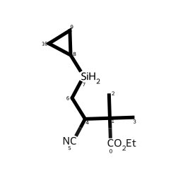 CCOC(=O)C(C)(C)C(C#N)C[SiH2]C1CC1